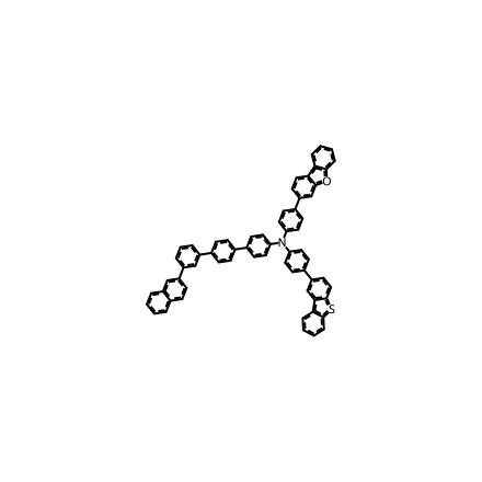 c1cc(-c2ccc(-c3ccc(N(c4ccc(-c5ccc6c(c5)oc5ccccc56)cc4)c4ccc(-c5ccc6sc7ccccc7c6c5)cc4)cc3)cc2)cc(-c2ccc3ccccc3c2)c1